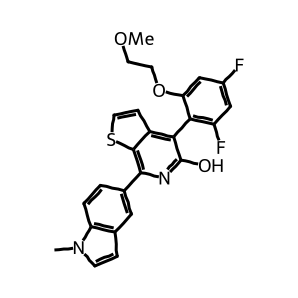 COCCOc1cc(F)cc(F)c1-c1c(O)nc(-c2ccc3c(ccn3C)c2)c2sccc12